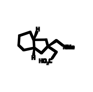 CNC[C@]1(CC(=O)O)C[C@H]2CCCC[C@H]2C1